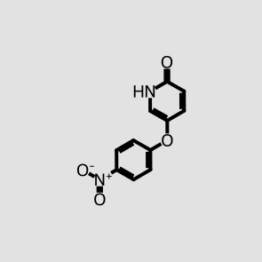 O=c1ccc(Oc2ccc([N+](=O)[O-])cc2)c[nH]1